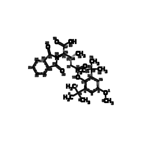 COc1cc(C(C)(C)C)c(OC(=O)C[C@@H](C)[C@H](C(=O)O)N2C(=O)c3ccccc3C2=O)c(C(C)(C)C)c1